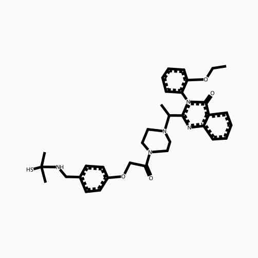 CCOc1ccccc1-n1c(C(C)N2CCN(C(=O)COc3ccc(CNC(C)(C)S)cc3)CC2)nc2ccccc2c1=O